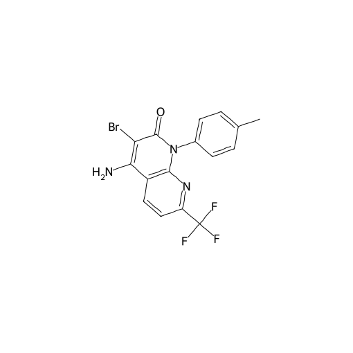 Cc1ccc(-n2c(=O)c(Br)c(N)c3ccc(C(F)(F)F)nc32)cc1